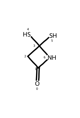 O=C1CC(S)(S)N1